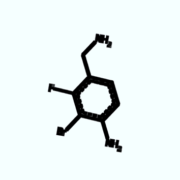 NCc1ccc(N)c(Br)c1F